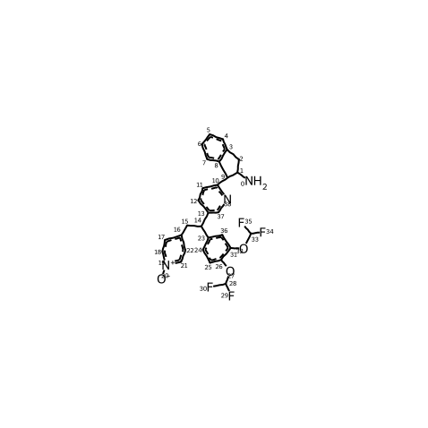 NC1Cc2ccccc2C1c1ccc(C(Cc2cc[n+]([O-])cc2)c2ccc(OC(F)F)c(OC(F)F)c2)cn1